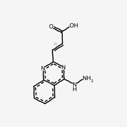 NNc1nc(/C=C/C(=O)O)nc2ccccc12